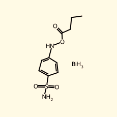 CCCC(=O)ONc1ccc(S(N)(=O)=O)cc1.[BiH3]